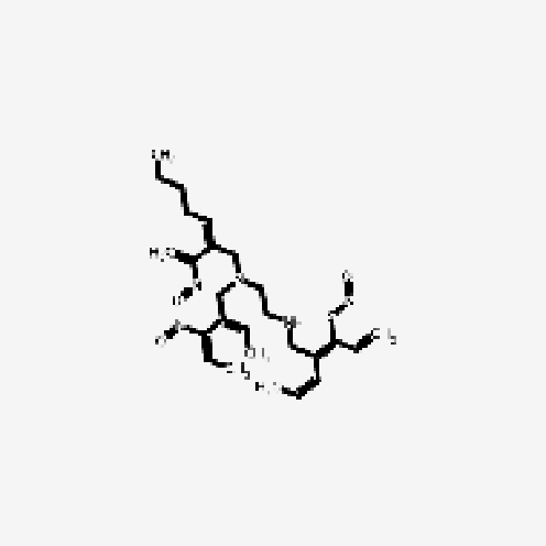 C=C/C(SN=O)=C(\C=C/C)CNCCN(C/C(=C/CCCC)C(=C)N=O)CC(=C/C)/C(=C\C)N=O